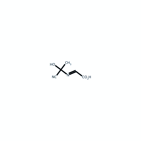 CC(O)(C#N)N=CC(=O)O